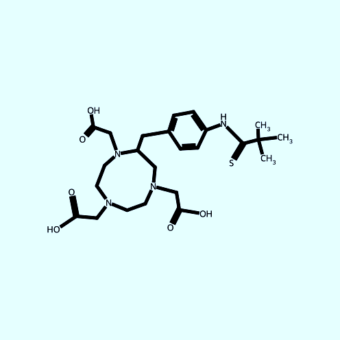 CC(C)(C)C(=S)Nc1ccc(CC2CN(CC(=O)O)CCN(CC(=O)O)CCN2CC(=O)O)cc1